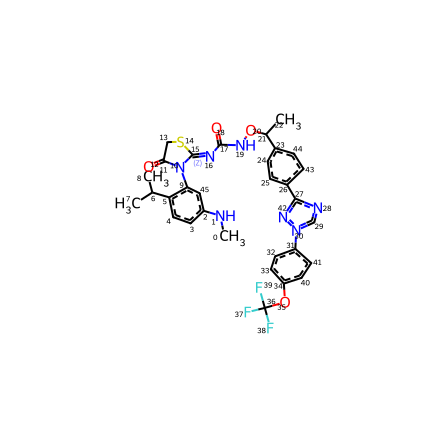 CNc1ccc(C(C)C)c(N2C(=O)CS/C2=N\C(=O)NOC(C)c2ccc(-c3ncn(-c4ccc(OC(F)(F)F)cc4)n3)cc2)c1